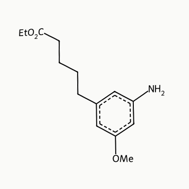 CCOC(=O)CCCCc1cc(N)cc(OC)c1